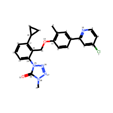 Cc1cc(-c2cc(Cl)ccn2)ccc1OCc1c(C2CC2)cccc1-n1nnn(C)c1=O